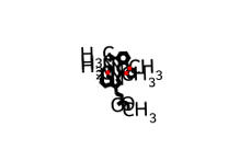 COC(=O)C=Cc1cn(C(C2CCCC2)N(C(N)=O)c2c(C(C)C)cccc2C(C)C)c2ncccc12